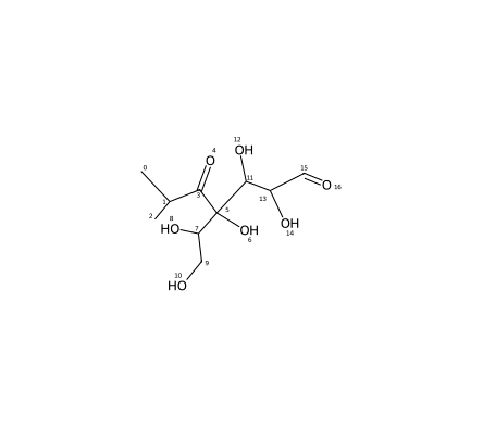 CC(C)C(=O)C(O)(C(O)CO)C(O)C(O)C=O